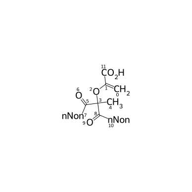 C=C(OC(C)(C(=O)CCCCCCCCC)C(=O)CCCCCCCCC)C(=O)O